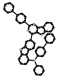 c1ccc(-c2ccc(-c3nc(-c4ccc5c(c4)oc4cccc(N(c6ccccc6)c6ccc(-c7ccccc7)cc6)c45)c4sc5ccccc5c4n3)cc2)cc1